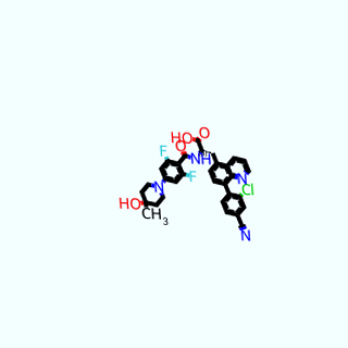 CC1(O)CCN(c2cc(F)c(C(=O)N[C@@H](Cc3ccc(-c4ccc(C#N)cc4Cl)c4ncccc34)C(=O)O)c(F)c2)CC1